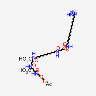 CC(=O)COCCOCCNC(=O)CC[C@H](NC(=O)CC[C@H](NC(=O)CCCCCCCCCCCNC(=O)CCCS(=O)(=O)NC(=O)CCCCCCCCCCCCCCCc1nnn[nH]1)C(=O)O)C(=O)O